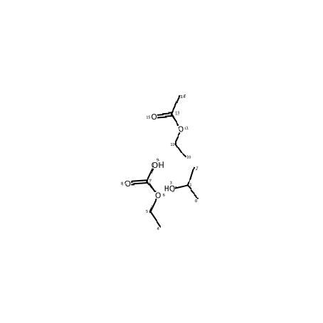 CC(C)O.CCOC(=O)O.CCOC(C)=O